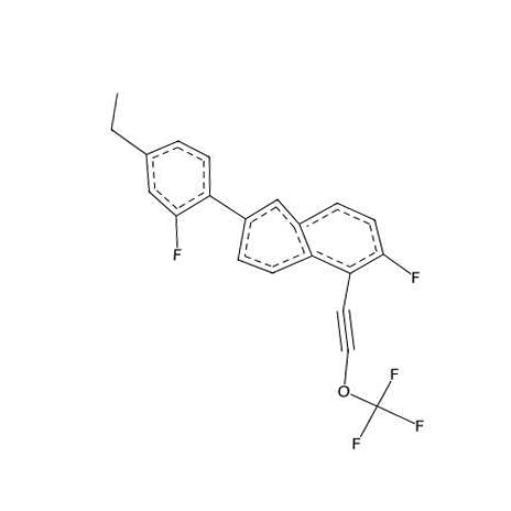 CCc1ccc(-c2ccc3c(C#COC(F)(F)F)c(F)ccc3c2)c(F)c1